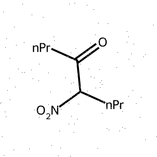 CCCC(=O)C(CCC)[N+](=O)[O-]